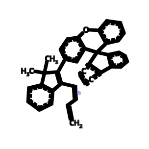 C=C/C=C\C1=C(c2ccc3c(c2)C2(c4ccccc4O3)c3ccccc3-c3ccccc32)C(C)(C)c2ccccc21